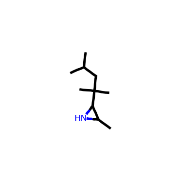 CC(C)CC(C)(C)C1NC1C